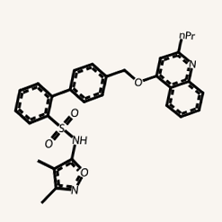 CCCc1cc(OCc2ccc(-c3ccccc3S(=O)(=O)Nc3onc(C)c3C)cc2)c2ccccc2n1